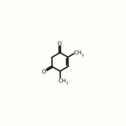 CC1=CC(C)C(=O)CC1=O